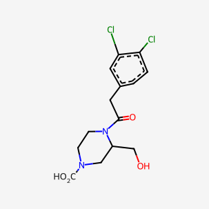 O=C(O)N1CCN(C(=O)Cc2ccc(Cl)c(Cl)c2)C(CO)C1